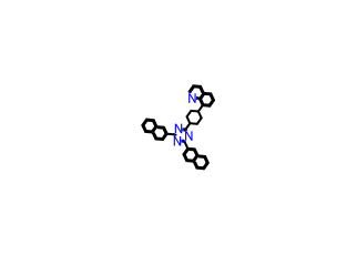 c1ccc2cc(-c3nc(-c4ccc5ccccc5c4)nc(C4CCC(c5cccc6cccnc56)CC4)n3)ccc2c1